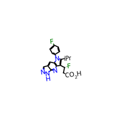 CC(C)c1c([C@H](F)CC(=O)O)c2nc3[nH]ncc3cc2n1-c1ccc(F)cc1